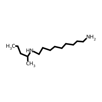 CCCC(C)NCCCCCCCCCN